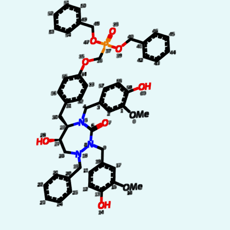 COc1cc(CN2C(=O)N(Cc3ccc(O)c(OC)c3)N(Cc3ccccc3)C[C@@H](O)[C@H]2Cc2ccc(OCP(=O)(OCc3ccccc3)OCc3ccccc3)cc2)ccc1O